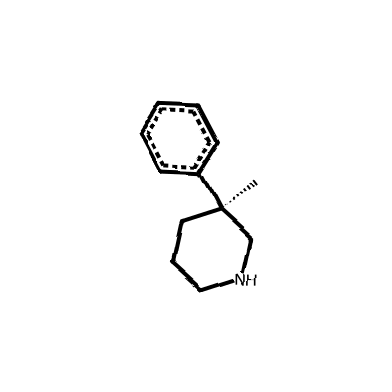 C[C@@]1(c2ccccc2)CCCNC1